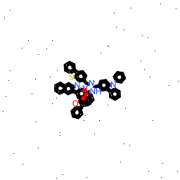 c1ccc(-n2c3ccccc3c3cc(C4N=C(c5ccc6c(sc7ccccc76)c5-n5c6cc7ccccc7cc6c6cc7ccccc7cc65)N=C(c5ccc6c(c5)oc5ccccc56)N4)ccc32)cc1